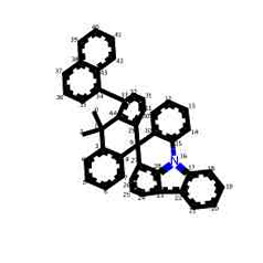 CC1(C)c2ccccc2C2(c3ccccc3-n3c4ccccc4c4cccc2c43)c2cccc(-c3cccc4ccccc34)c21